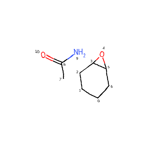 C1CCC2OC2C1.CC(N)=O